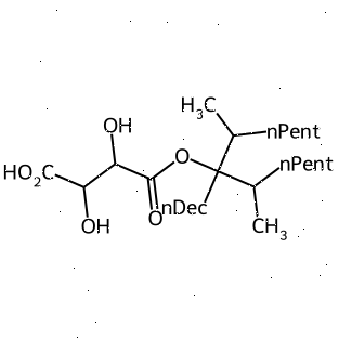 CCCCCCCCCCC(OC(=O)C(O)C(O)C(=O)O)(C(C)CCCCC)C(C)CCCCC